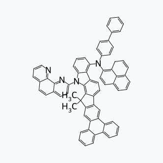 CC1(C)c2cc3c4ccccc4c4ccccc4c3cc2-c2ccc3c4c(N(c5ccc(-c6ccccc6)cc5)c5ccc6cccc7c6c5CC=C7)cccc4n(-c4ccc5ccc6cccnc6c5n4)c3c21